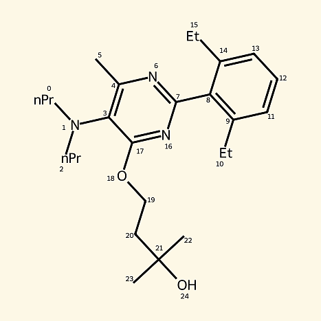 CCCN(CCC)c1c(C)nc(-c2c(CC)cccc2CC)nc1OCCC(C)(C)O